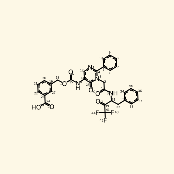 O=C(Cn1c(-c2ccccc2)ncc(NC(=O)OCc2cccc(C(=O)O)c2)c1=O)NC(Cc1ccccc1)C(=O)C(F)(F)F